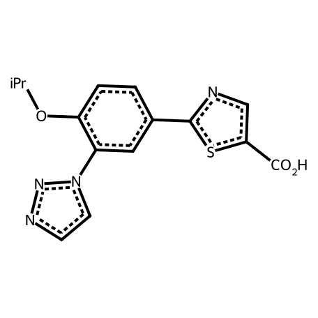 CC(C)Oc1ccc(-c2ncc(C(=O)O)s2)cc1-n1ccnn1